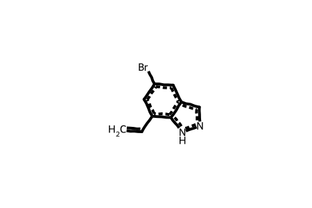 C=Cc1cc(Br)cc2cn[nH]c12